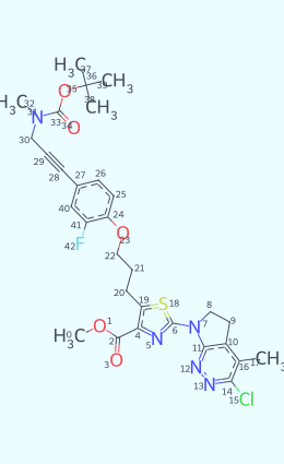 COC(=O)c1nc(N2CCc3c2nnc(Cl)c3C)sc1CCCOc1ccc(C#CCN(C)C(=O)OC(C)(C)C)cc1F